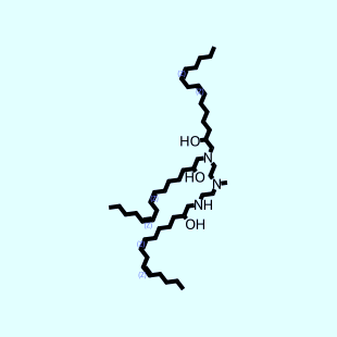 CCCC/C=C\C/C=C\CCCCC(O)CNCCN(C)CCN(CC(O)CCCC/C=C\C/C=C\CCCC)CC(O)CCCC/C=C\C/C=C\CCCC